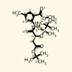 COC(=O)c1cc(C)sc1NC(=S)[C@H](CC(=O)OC(C)(C)C)O[Si](C)(C)C(C)(C)C